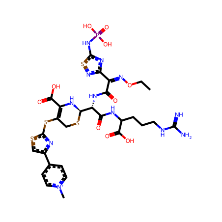 CCO/N=C(\C(=O)N[C@H](C(=O)NC(CCCNC(=N)N)C(=O)O)[C@@H]1NC(C(=O)O)=C(Sc2nc(-c3cc[n+](C)cc3)cs2)CS1)c1nsc(NP(=O)(O)O)n1